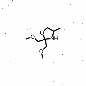 COCC1(COC)NC(C)CO1